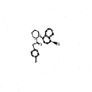 N#Cc1ccc(N2CCCCN2C(=O)Cc2ccc(F)cc2)c2ccccc12